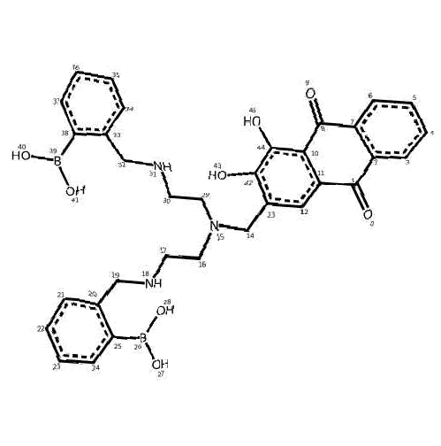 O=C1c2ccccc2C(=O)c2c1cc(CN(CCNCc1ccccc1B(O)O)CCNCc1ccccc1B(O)O)c(O)c2O